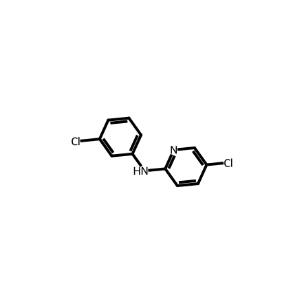 Clc1ccc(Nc2cccc(Cl)c2)nc1